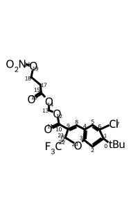 CC(C)(C)c1cc2c(cc1Cl)C=C(C(=O)OCOC(=O)CCO[N+](=O)[O-])[C@@H](C(F)(F)F)O2